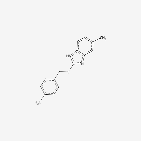 Cc1ccc(CSc2nc3cc(C)ccc3[nH]2)cc1